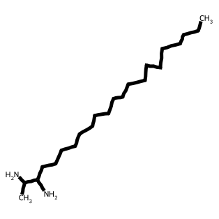 CCCCCCCCCCCCCCCCCCCC(N)C(C)N